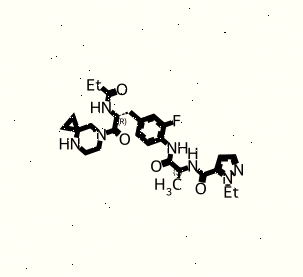 CCC(=O)N[C@H](Cc1ccc(NC(=O)[C@H](C)NC(=O)c2ccnn2CC)c(F)c1)C(=O)N1CCNC2(CC2)C1